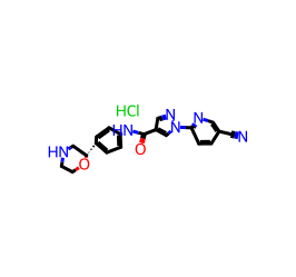 Cl.N#Cc1ccc(-n2cc(C(=O)Nc3ccc([C@H]4CNCCO4)cc3)cn2)nc1